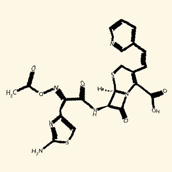 CC(=O)O/N=C(/C(=O)N[C@@H]1C(=O)N2C(C(=O)O)=C(/C=C\c3cccnc3)CS[C@H]12)c1csc(N)n1